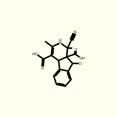 CC1=C(C(=O)O)C2c3ccccc3C(Cl)C2(C(=O)O)C(C)(C#N)N1